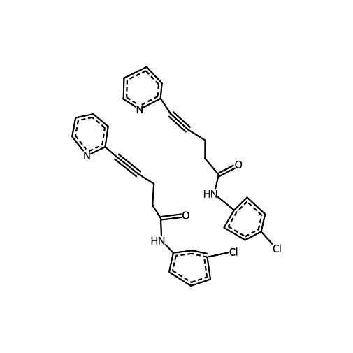 O=C(CCC#Cc1ccccn1)Nc1ccc(Cl)cc1.O=C(CCC#Cc1ccccn1)Nc1cccc(Cl)c1